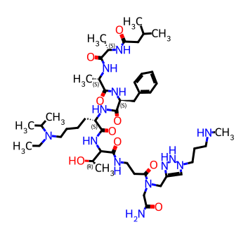 CCN(CCCC[C@H](NC(=O)[C@H](Cc1ccccc1)NC(=O)[C@H](C)NC(=O)[C@H](C)NC(=O)CC(C)C)C(=O)NC(C(=O)NCCC(=O)N(CC(N)=O)CC1=CN(CCCNC)NN1)[C@@H](C)O)C(C)C